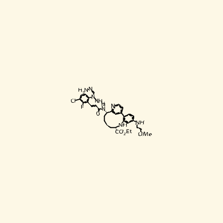 CCOC(=O)[C@@H]1CCCC[C@H](NC(=O)/C=C/c2c(N(N)/C=N\N)ccc(Cl)c2F)c2cc(ccn2)-c2ccc(NCCOC)cc2N1